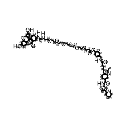 Cc1nc2cc(C(=O)Nc3nc(-c4ccccn4)cs3)ccc2n1CCCC(=O)NCc1ccc(OC(=O)CCOCCOCCOCCOCCOCCOCCNC(=S)Nc2ccc3c(c2)C(=O)OC32c3ccc(O)cc3Oc3cc(O)ccc32)cc1